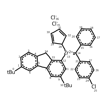 CC(C)(C)c1ccc2c(c1)-c1cc(C(C)(C)C)c[c]([Zr+2](=[C](c3ccccc3)c3ccc(Cl)cc3)[CH]3C=CC=C3)c1C2.[Cl-].[Cl-]